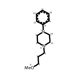 COCCCN1CCN(c2ccccc2)CC1